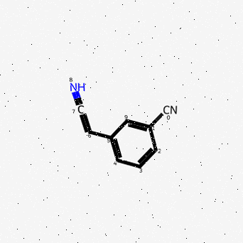 N#Cc1cccc(C=C=N)c1